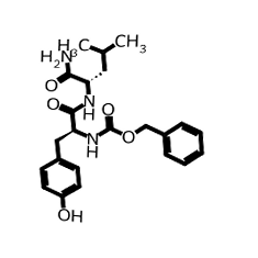 CC(C)C[C@H](NC(=O)[C@H](Cc1ccc(O)cc1)NC(=O)OCc1ccccc1)C(N)=O